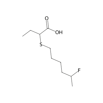 CCC(SCCCCC(C)F)C(=O)O